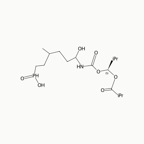 CC(CCC(O)NC(=O)O[C@H](OC(=O)C(C)C)C(C)C)CC[PH](=O)O